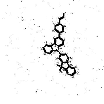 C/C=C/c1ccc(-c2ccc3c(c2)c2ccccc2n3-c2ccc3c(c2)C(C)(C)c2ccccc2-3)cc1